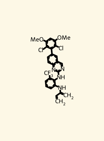 C=CC(=C)Nc1cccc(C(F)(F)F)c1Nc1ncc2cc(-c3c(Cl)c(OC)cc(OC)c3Cl)ccc2n1